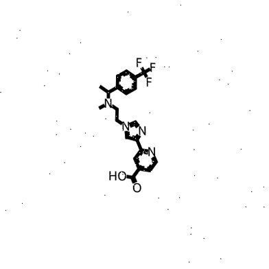 CC(c1ccc(C(F)(F)F)cc1)N(C)CCn1cnc(-c2cc(C(=O)O)ccn2)c1